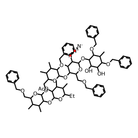 CCC1OC(OC2C(OCC3OC(OC4C(COCc5ccccc5)OC(OC5C(O)C(O)C(OCc6ccccc6)C(C)C5OCc5ccccc5)C(N=[N+]=[N-])C4C)C(OCc4ccccc4)C(C)C3C)OC(COCc3ccccc3)C(C)C2C)C(OC(C)=O)C(C)C1C